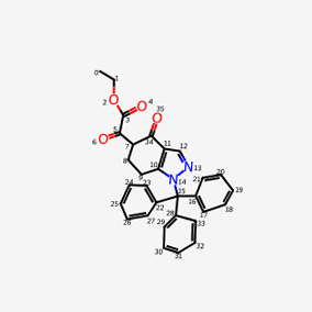 CCOC(=O)C(=O)C1CCc2c(cnn2C(c2ccccc2)(c2ccccc2)c2ccccc2)C1=O